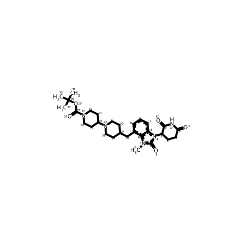 Cn1c(=O)n(C2CCC(=O)NC2=O)c2cccc(CC3CCN(C4CCN(C(=O)OC(C)(C)C)CC4)CC3)c21